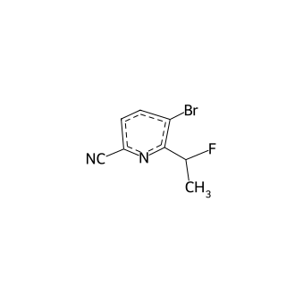 CC(F)c1nc(C#N)ccc1Br